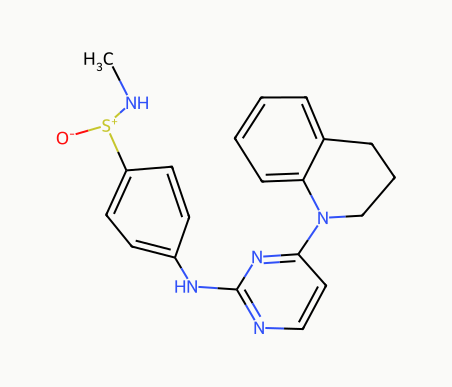 CN[S+]([O-])c1ccc(Nc2nccc(N3CCCc4ccccc43)n2)cc1